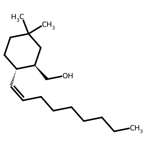 CCCCCCC/C=C\[C@@H]1CCC(C)(C)C[C@H]1CO